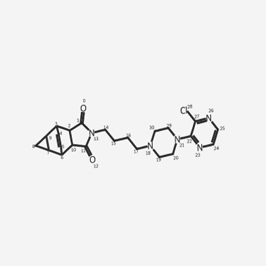 O=C1C2C3C=CC(C4CC34)C2C(=O)N1CCCCN1CCN(c2nccnc2Cl)CC1